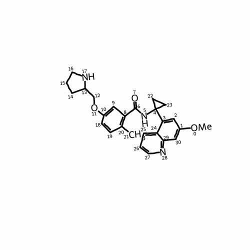 COc1cc(C2(NC(=O)c3cc(OCC4CCCN4)ccc3C)CC2)c2cccnc2c1